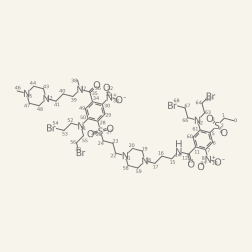 CCS(=O)(=O)c1cc([N+](=O)[O-])c(C(=O)NCCCN2CCN(CCCS(=O)(=O)c3cc([N+](=O)[O-])c(C(=O)N(C)CCCN4CCN(C)CC4)cc3N(CCBr)CCBr)CC2)cc1N(CCBr)CCBr